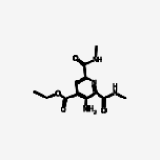 CCOC(=O)c1cc(C(=O)NC)nc(C(=O)NC)c1N